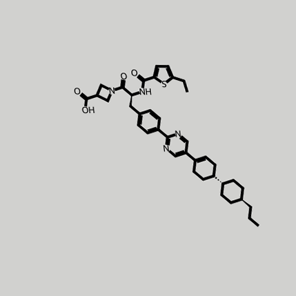 CCC[C@H]1CC[C@H](C2CC=C(c3cnc(-c4ccc(C[C@H](NC(=O)c5ccc(CC)s5)C(=O)N5CC(C(=O)O)C5)cc4)nc3)CC2)CC1